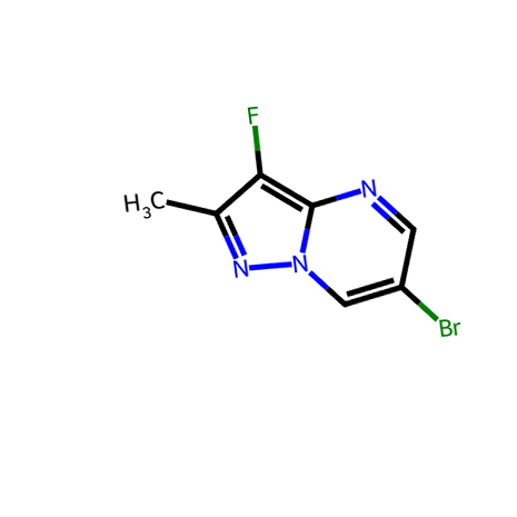 Cc1nn2cc(Br)cnc2c1F